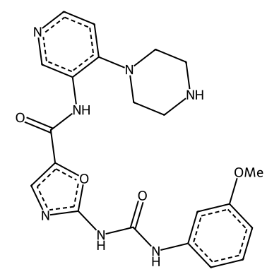 COc1cccc(NC(=O)Nc2ncc(C(=O)Nc3cnccc3N3CCNCC3)o2)c1